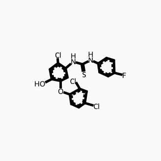 Oc1cc(Cl)c(NC(=S)Nc2ccc(F)cc2)cc1Oc1ccc(Cl)cc1Cl